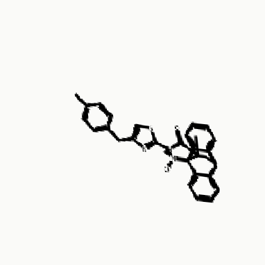 Cc1ccc(Cc2csc(NC(=O)C3(C)CC4c5ccccc5C3([N+](=O)[O-])c3ccccc34)n2)cc1